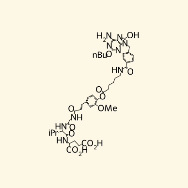 CCCCOc1nc(N)c2nc(O)n(Cc3ccc(C(=O)NCCCCCC(=O)Oc4ccc(/C=C/C(=O)NCC(=O)NC(C(=O)NC(CCC(=O)O)C(=O)O)C(C)C)cc4OC)cc3)c2n1